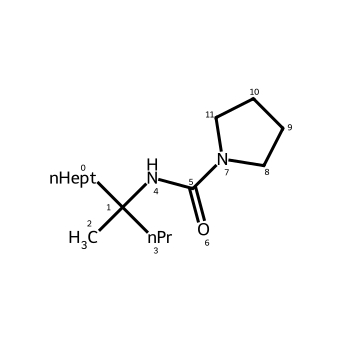 CCCCCCCC(C)(CCC)NC(=O)N1CCCC1